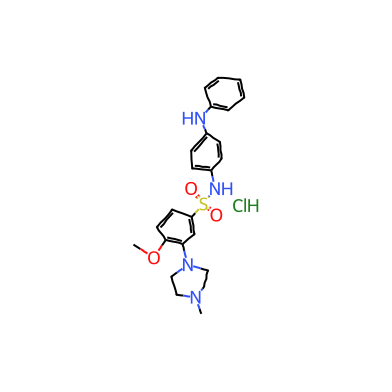 COc1ccc(S(=O)(=O)Nc2ccc(Nc3ccccc3)cc2)cc1N1CCN(C)CC1.Cl